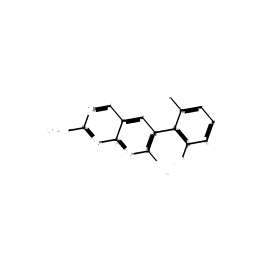 CSc1ncc2cc(-c3c(Cl)cccc3Cl)c(C(=O)O)nc2n1